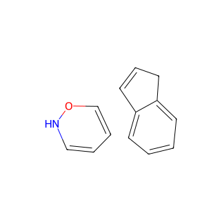 C1=CNOC=C1.C1=Cc2ccccc2C1